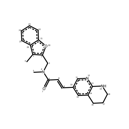 Cc1c(CN(C)C(=O)/C=C/c2cnc3c(c2)CCCN3)oc2ccccc12